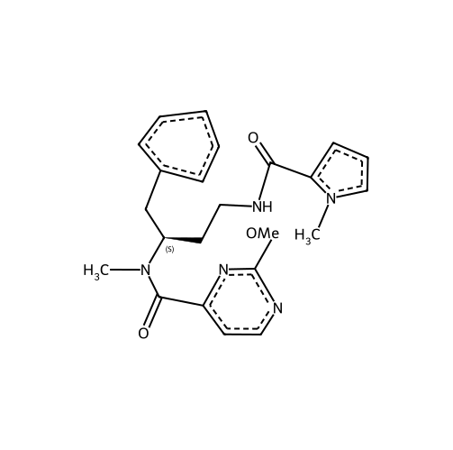 COc1nccc(C(=O)N(C)[C@H](CCNC(=O)c2cccn2C)Cc2ccccc2)n1